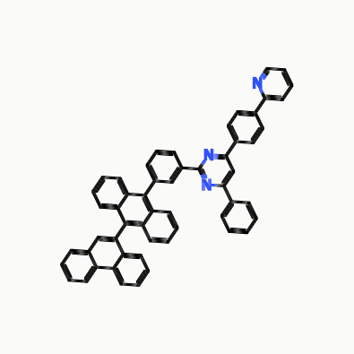 c1ccc(-c2cc(-c3ccc(-c4ccccn4)cc3)nc(-c3cccc(-c4c5ccccc5c(-c5cc6ccccc6c6ccccc56)c5ccccc45)c3)n2)cc1